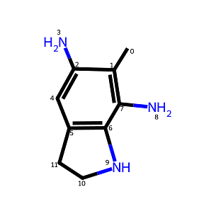 Cc1c(N)cc2c(c1N)NCC2